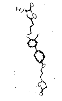 C=C1CC(CCCOc2ccc(-c3ccc(OCCCC4CCC(=O)O4)cc3)cc2F)OC1=O